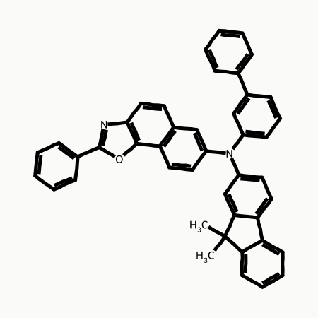 CC1(C)c2ccccc2-c2ccc(N(c3cccc(-c4ccccc4)c3)c3ccc4c(ccc5nc(-c6ccccc6)oc54)c3)cc21